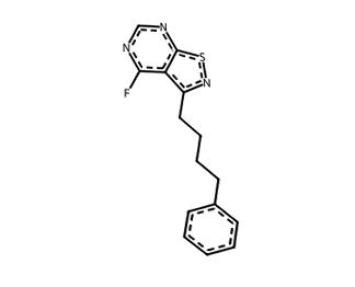 Fc1ncnc2snc(CCCCc3ccccc3)c12